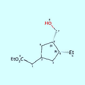 CCOC(=O)CC1C[C@@H](CC)[C@@H](CO)C1